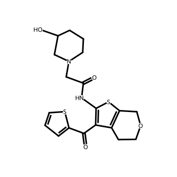 O=C(CN1CCCC(O)C1)Nc1sc2c(c1C(=O)c1cccs1)CCOC2